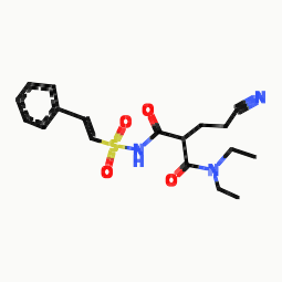 CCN(CC)C(=O)C(CCC#N)C(=O)NS(=O)(=O)C=Cc1ccccc1